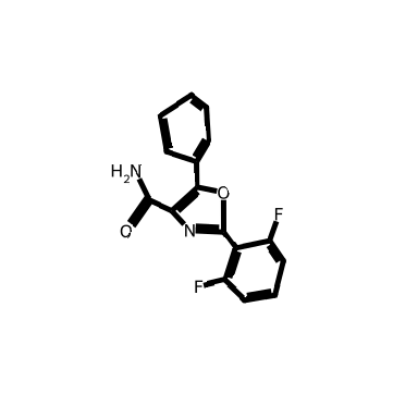 NC(=O)c1nc(-c2c(F)cccc2F)oc1-c1ccccc1